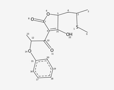 CSC(C)CC1OC(=O)C(C(=O)C(C)Oc2ccccc2)=C1O